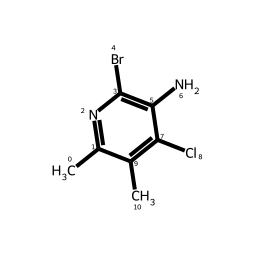 Cc1nc(Br)c(N)c(Cl)c1C